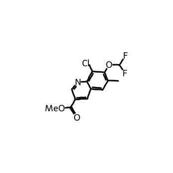 COC(=O)c1cnc2c(Cl)c(OC(F)F)c(C)cc2c1